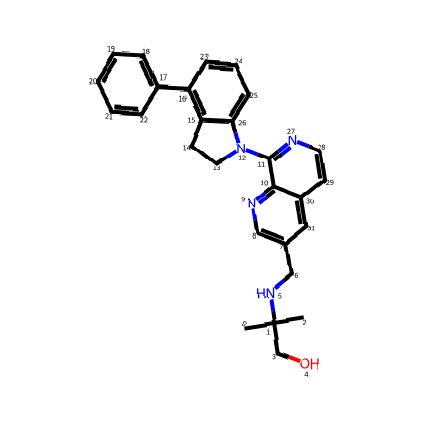 CC(C)(CO)NCc1cnc2c(N3CCc4c(-c5ccccc5)cccc43)nccc2c1